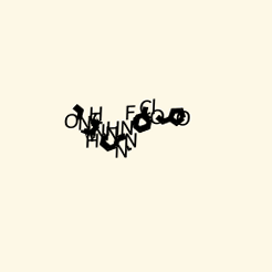 C=CC(=O)N1C[C@@H]2C[C@H]1CN2c1ccc2ncnc(Nc3ccc(OCC4CCOC4)c(Cl)c3F)c2n1